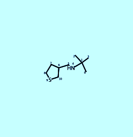 CC(C)(C)NCC1CCSC1